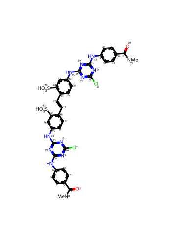 CNC(=O)c1ccc(Nc2nc(Cl)nc(Nc3ccc(/C=C/c4ccc(Nc5nc(Cl)nc(Nc6ccc(C(=O)NC)cc6)n5)cc4S(=O)(=O)O)c(S(=O)(=O)O)c3)n2)cc1